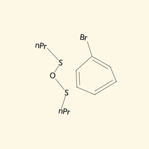 Brc1ccccc1.CCCSOSCCC